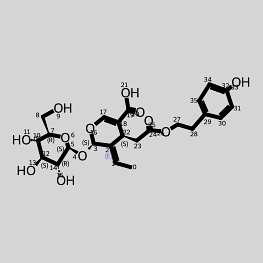 C/C=C1/[C@H](O[C@@H]2O[C@H](CO)[C@@H](O)[C@H](O)[C@H]2O)OC=C(C(=O)O)[C@H]1CC(=O)OCCc1ccc(O)cc1